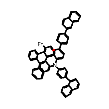 CCc1cccc(-c2ccccc2N(c2ccc(-c3ccc(-c4ccc5ccccc5c4)cc3)cc2)c2ccc(-c3cccc4ccccc34)cc2)c1-c1ccccc1Cc1ccccc1